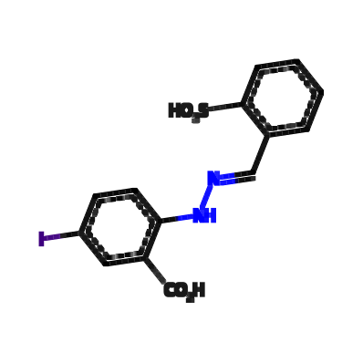 O=C(O)c1cc(I)ccc1N/N=C/c1ccccc1S(=O)(=O)O